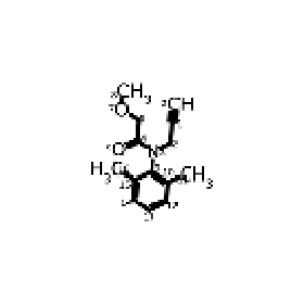 C#CCN(C(=O)COC)c1c(C)cccc1C